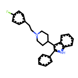 Fc1ccc(CCN2CCC(c3c(-c4ccccc4)[nH]c4ccccc34)CC2)cc1